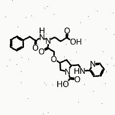 O=C(O)CCN(NC(=O)Cc1ccccc1)C(=O)COC1CC(CNc2ccccn2)N(C(=O)O)C1